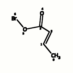 CC=CC(=O)OBr